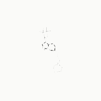 CC1(C)OB(c2cnn3cc(OCCN4CCOCC4)ccc23)OC1(C)C